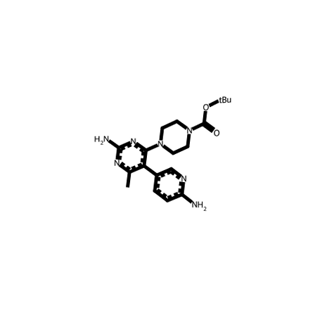 Cc1nc(N)nc(N2CCN(C(=O)OC(C)(C)C)CC2)c1-c1ccc(N)nc1